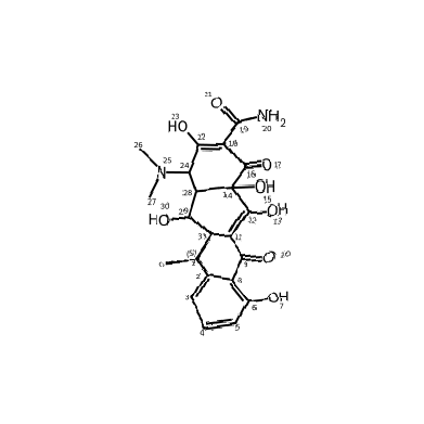 C[C@@H]1c2cccc(O)c2C(=O)C2=C(O)C3(O)C(=O)C(C(N)=O)=C(O)C(N(C)C)C3C(O)C21